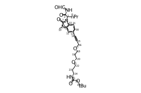 CCCC(C(=O)NC=O)n1c(=O)n(C)c2cc(C#CCOCCCOCCCNC(=O)OC(C)(C)C)ccc21